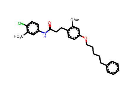 COc1cc(OCCCCCc2ccccc2)ccc1CCC(=O)Nc1ccc(Cl)c(C(=O)O)c1